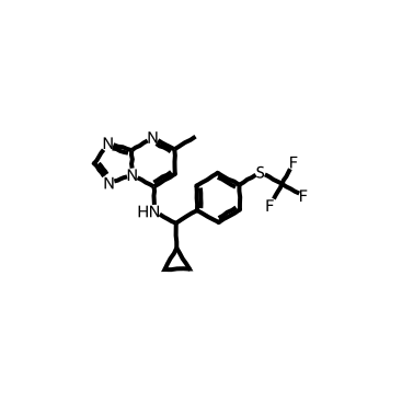 Cc1cc(NC(c2ccc(SC(F)(F)F)cc2)C2CC2)n2ncnc2n1